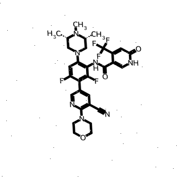 C[C@@H]1CN(c2cc(F)c(-c3cnc(N4CCOCC4)c(C#N)c3)c(F)c2NC(=O)c2c[nH]c(=O)cc2C(F)(F)F)C[C@H](C)N1C